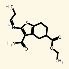 CC/C=N\c1sc2c(c1C(N)=O)CC(C(=O)OCC)CC2